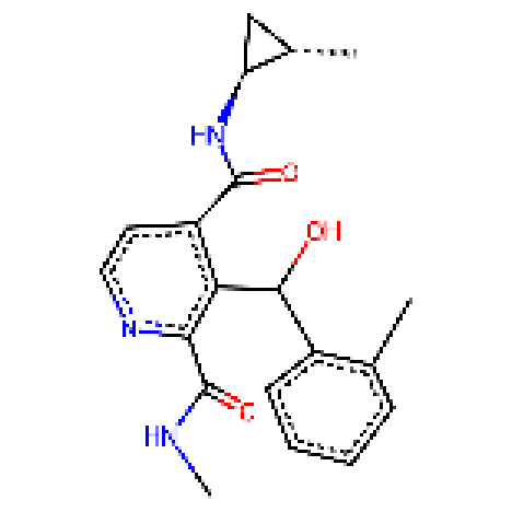 CNC(=O)c1nccc(C(=O)N[C@H]2C[C@@H]2C)c1C(O)c1ccccc1C